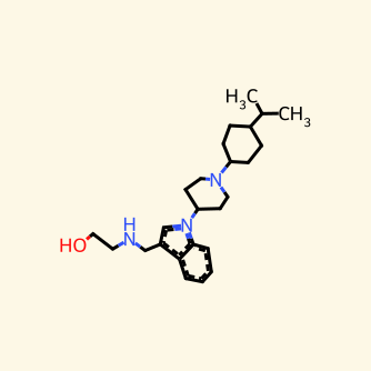 CC(C)C1CCC(N2CCC(n3cc(CNCCO)c4ccccc43)CC2)CC1